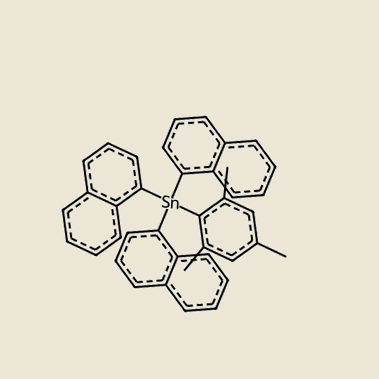 Cc1cc(C)[c]([Sn]([c]2cccc3ccccc23)([c]2cccc3ccccc23)[c]2cccc3ccccc23)c(C)c1